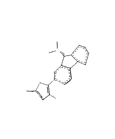 CC1=CC(C)=C(c2[c]c3c(cc2)-c2ccccc2C3=[Si](C)C)C1